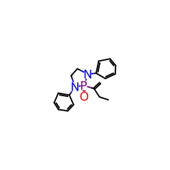 C=C(CC)P1(=O)N(c2ccccc2)CCN1c1ccccc1